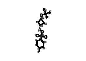 Cc1ccc(S(=O)(=O)OC[C@H]2C[C@@H](OC(F)(F)F)C2)cc1